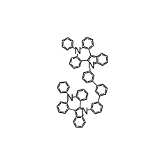 c1ccc(N2c3ccccc3-c3c(n(-c4cccc(-c5cccc(-c6cccc(-n7c8c(c9ccccc97)-c7ccccc7N(c7ccccc7)c7ccccc7-8)c6)c5)c4)c4ccccc34)-c3ccccc32)cc1